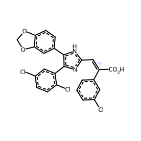 O=C(O)/C(=C/c1nc(-c2cc(Cl)ccc2Cl)c(-c2ccc3c(c2)OCO3)[nH]1)c1cccc(Cl)c1